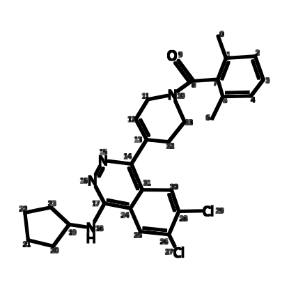 Cc1cccc(C)c1C(=O)N1CC=C(c2nnc(NC3CCCC3)c3cc(Cl)c(Cl)cc23)CC1